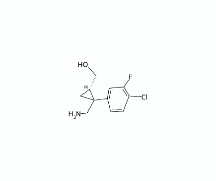 NCC1(c2ccc(Cl)c(F)c2)C[C@@H]1CO